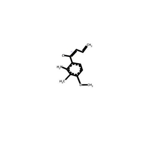 C=C/C=C(/Cl)c1ccc(OC)c(C)c1N